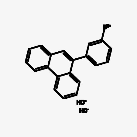 [B+2]c1cccc(-c2cc3ccccc3c3ccccc23)c1.[OH-].[OH-]